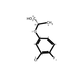 C[C@H](Oc1ccc(F)c(Cl)c1)C(=O)O